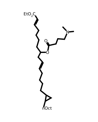 CCCCCCCCC1CC1CCCC/C=C/CC(CCCC/C=C/C(=O)OCC)OC(=O)CCCN(C)C